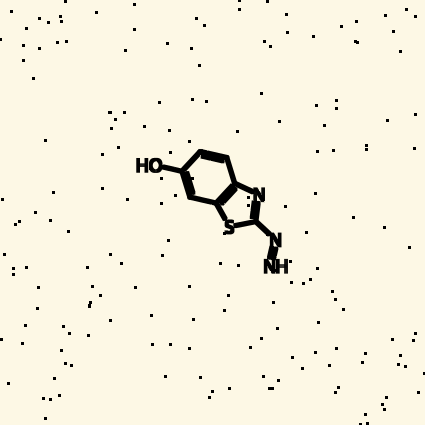 N=Nc1nc2ccc(O)cc2s1